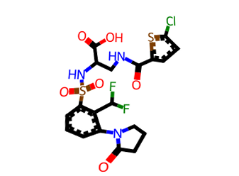 O=C(NCC(NS(=O)(=O)c1cccc(N2CCCC2=O)c1C(F)F)C(=O)O)c1ccc(Cl)s1